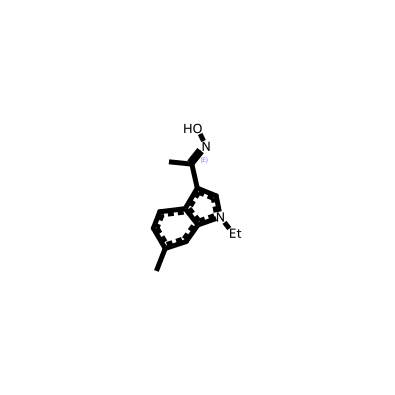 CCn1cc(/C(C)=N/O)c2ccc(C)cc21